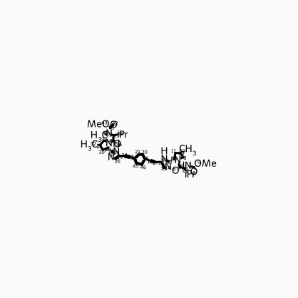 COC(=O)N[C@H](C(=O)N1C[C@@H](C)C[C@H]1c1ncc(C#Cc2ccc(C#Cc3cnc([C@@H]4C[C@H](C)CN4C(=O)C(C(C)C)N(C)C(=O)OC)[nH]3)cc2)[nH]1)C(C)C